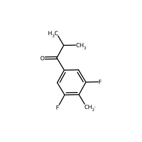 [CH2]c1c(F)cc(C(=O)C(C)C)cc1F